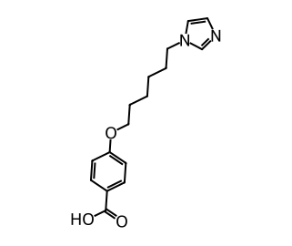 O=C(O)c1ccc(OCCCCCCn2ccnc2)cc1